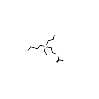 CCCC[N+](CC)(CCC)CCOC(N)=O